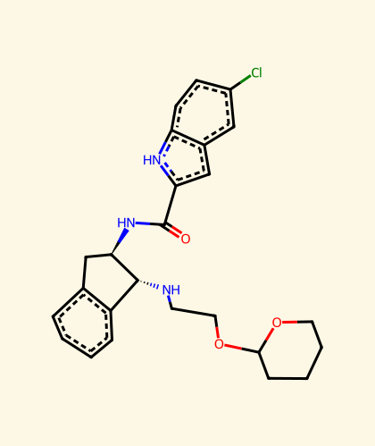 O=C(N[C@@H]1Cc2ccccc2[C@H]1NCCOC1CCCCO1)c1cc2cc(Cl)ccc2[nH]1